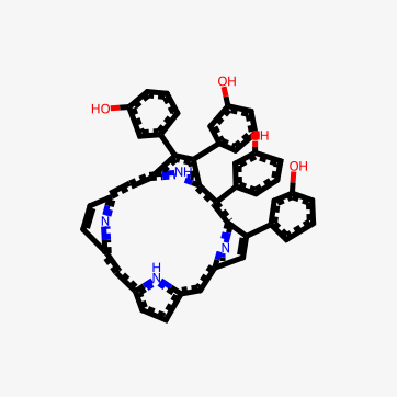 Oc1cccc(C2=Cc3cc4ccc(cc5nc(cc6[nH]c(c(-c7cccc(O)c7)c2n3)c(-c2cccc(O)c2)c6-c2cccc(O)c2)C=C5)[nH]4)c1